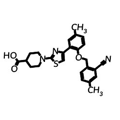 Cc1ccc(COc2ccc(C)cc2-c2csc(N3CCC(C(=O)O)CC3)n2)c(C#N)c1